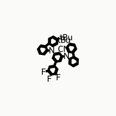 CC(C)(C)c1ccc2c3ccccc3n(-c3cc(-c4cc(F)c(F)c(F)c4)cc(-n4c5ccccc5c5ccc(C(C)(C)C)cc54)c3C#N)c2c1